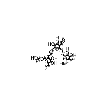 CCCC1OC(COCC(=O)O)C(CCOCCC2OC(COCCC3OC(CO)C(CC)C(O)C3O)C(CCOC)C(O)C2O)C(O)C1O